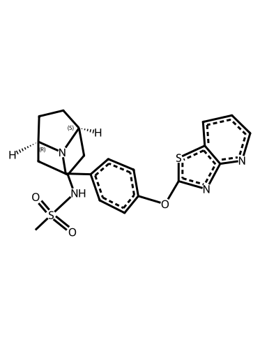 CS(=O)(=O)NC1C[C@H]2CC[C@@H](C1)N2Cc1ccc(Oc2nc3ncccc3s2)cc1